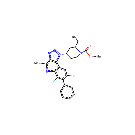 CSc1nc2c(F)c(-c3ccccc3)c(Cl)cc2c2c1nnn2[C@H]1CCN(C(=O)OC(C)(C)C)[C@H](CC#N)C1